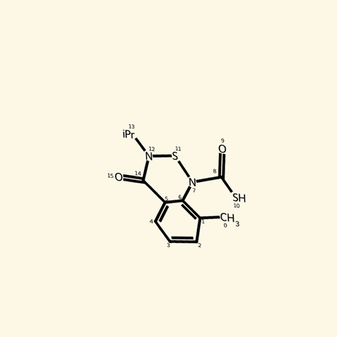 Cc1cccc2c1N(C(=O)S)SN(C(C)C)C2=O